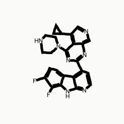 Fc1ccc2c([nH]c3nccc(-c4nc(N5CCNCC5)c5c(C6CC6)cncc5n4)c32)c1F